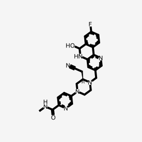 CNC(=O)c1ccc(N2CCN(Cc3cnc4c(c3)NC(O)c3cc(F)ccc3-4)[C@H](CC#N)C2)cn1